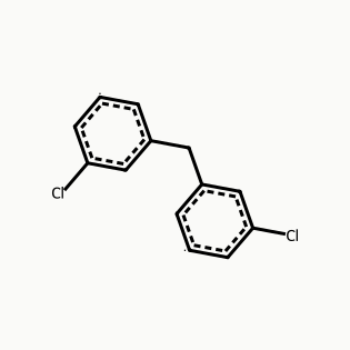 Clc1c[c]cc(Cc2c[c]cc(Cl)c2)c1